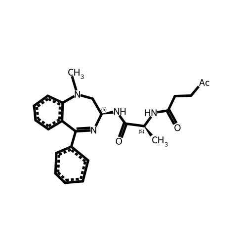 CC(=O)CCC(=O)N[C@@H](C)C(=O)N[C@@H]1CN(C)c2ccccc2C(c2ccccc2)=N1